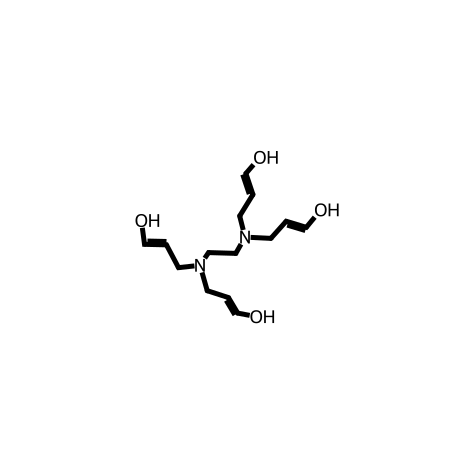 OC=CCN(CC=CO)CCN(CC=CO)CC=CO